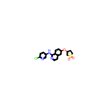 O=S1(=O)CC[C@H](Oc2ccc3c(Nc4ccc(Cl)nc4)nccc3c2)C1